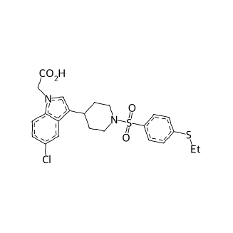 CCSc1ccc(S(=O)(=O)N2CCC(c3cn(CC(=O)O)c4ccc(Cl)cc34)CC2)cc1